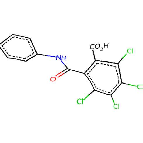 O=C(O)c1c(Cl)c(Cl)c(Cl)c(Cl)c1C(=O)Nc1ccccc1